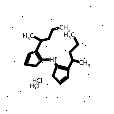 CCCC(C)C1=[C]([Hf][C]2=C(C(C)CCC)C=CC2)CC=C1.Cl.Cl